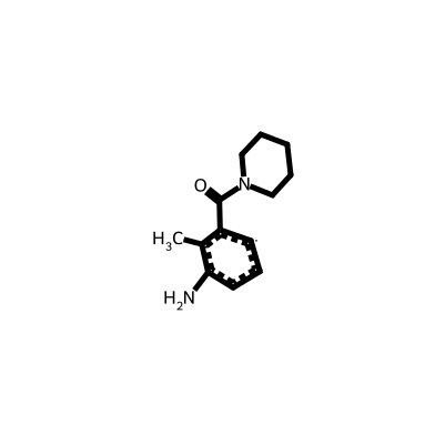 Cc1c(C(=O)N2CCCCC2)[c]ccc1N